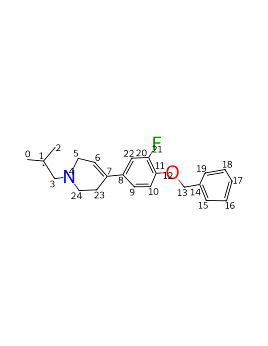 C[C](C)CN1CC=C(c2ccc(OCc3ccccc3)c(F)c2)CC1